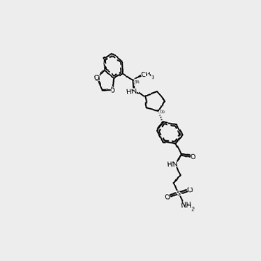 C[C@@H](NC1CC[C@H](c2ccc(C(=O)NCCS(N)(=O)=O)cc2)C1)c1cccc2c1OCO2